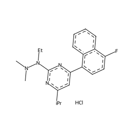 CCN(c1nc(-c2ccc(F)c3ccccc23)cc(C(C)C)n1)N(C)C.Cl